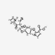 COC(=O)c1ccn(C)c1Oc1ccc(OC(C)C(=O)C(C#N)C(=O)c2cccn2C)cc1